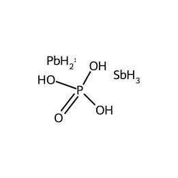 O=P(O)(O)O.[PbH2].[SbH3]